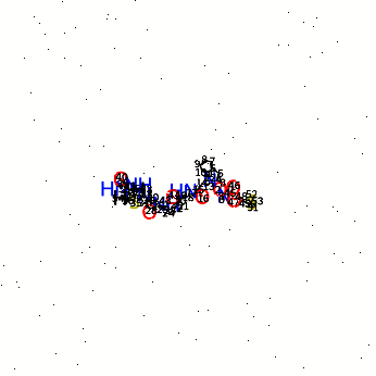 CN(OCc1cc2ccccc2n1CCC(=O)NCCC1(C)CC(C)(CNC(=O)C(C)(C)N(C)[C@@H]2SC[C@@H]3NC(=O)N[C@@H]32)CO1)C(=O)OCCS(C)(C)C